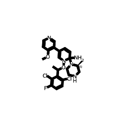 COc1ccncc1C1=CN(OC(C)c2c(Cl)ccc(F)c2Cl)C(N)(N2CCNC[C@@H]2C)C=C1